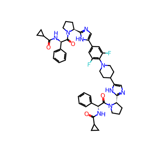 O=C(N[C@@H](C(=O)N1CCC[C@H]1c1ncc(-c2cc(F)c(N3CCC(c4cnc([C@@H]5CCCN5C(=O)[C@H](NC(=O)C5CC5)c5ccccc5)[nH]4)CC3)c(F)c2)[nH]1)c1ccccc1)C1CC1